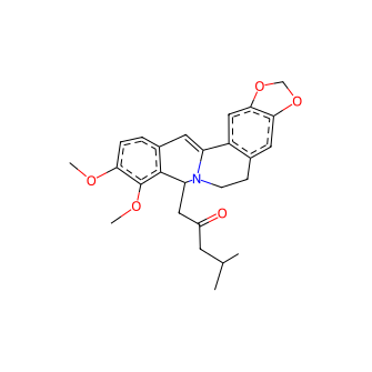 COc1ccc2c(c1OC)C(CC(=O)CC(C)C)N1CCc3cc4c(cc3C1=C2)OCO4